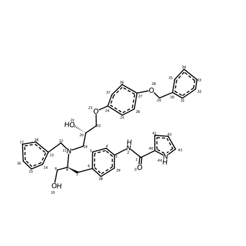 O=C(Nc1ccc(C[C@@H](CO)N(Cc2ccccc2)C[C@H](O)COc2ccc(OCc3ccccc3)cc2)cc1)c1ccc[nH]1